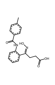 Cc1ccc(C(=O)Nc2ccccc2/C(CCC(=O)O)=N\O)cc1